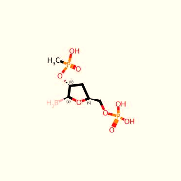 B[C@@H]1O[C@H](COP(=O)(O)O)C[C@H]1OP(C)(=O)O